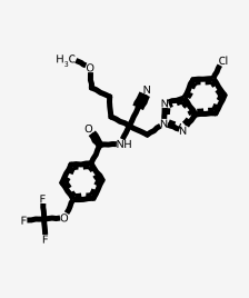 COCCCC(C#N)(Cn1nc2ccc(Cl)cc2n1)NC(=O)c1ccc(OC(F)(F)F)cc1